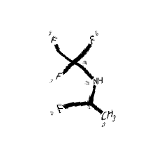 CC(F)NC(F)(F)F